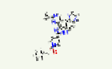 O=C(OCc1ccccc1)N1CCC(c2nc(-c3ccnc(C4CC4)n3)c(-c3ccc4nccnc4c3)[nH]2)CC1